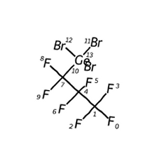 FC(F)(F)C(F)(F)[C](F)(F)[Ge]([Br])([Br])[Br]